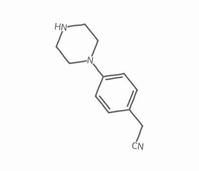 N#CCc1ccc(N2CCNCC2)cc1